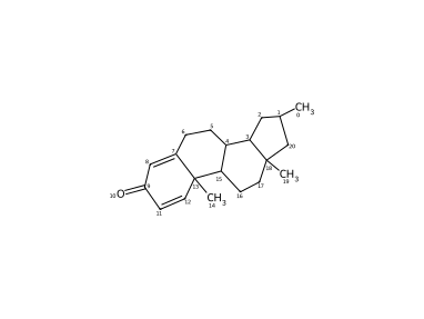 CC1CC2C3CCC4=CC(=O)C=CC4(C)C3CCC2(C)C1